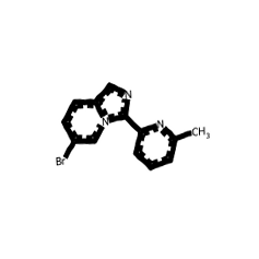 Cc1cccc(-c2ncc3ccc(Br)cn23)n1